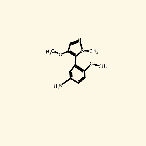 COc1ccc(N)cc1-c1c(OC)cnn1C